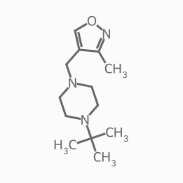 Cc1nocc1CN1CCN(C(C)(C)C)CC1